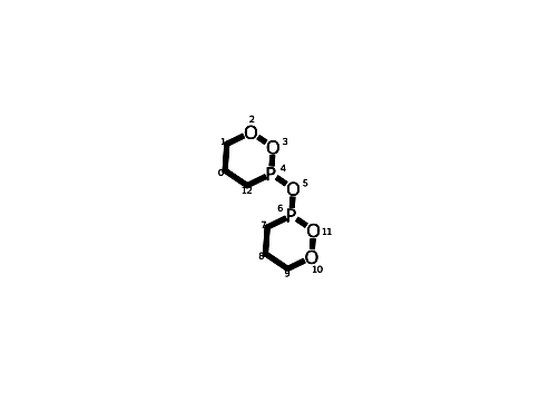 C1COOP(OP2CCCOO2)C1